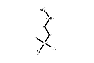 CCCNCC[Si](Cl)(Cl)Cl